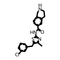 Cc1nc(NC(=O)c2ccc3c(c2)CCNC3)sc1Cc1cccc(Cl)c1